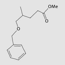 COC(=O)CCC(C)COCc1ccccc1